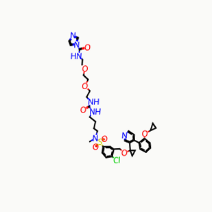 CN(CCCCNC(=O)NCCOCCOCCNC(=O)n1ccnc1)S(=O)(=O)c1ccc(Cl)c(COC2(c3cnccc3-c3ccccc3OC3CC3)CC2)c1